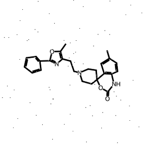 Cc1ccc2c(c1)C1(CCN(CCc3nc(-c4ccccc4)oc3C)CC1)OC(=O)N2